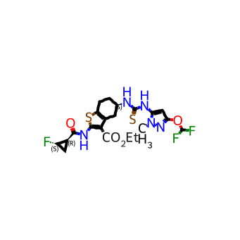 CCOC(=O)c1c(NC(=O)[C@H]2C[C@@H]2F)sc2c1C[C@@H](NC(=S)Nc1cc(OC(F)F)nn1C)CC2